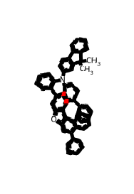 CC1(C)c2ccccc2-c2ccc(N(c3ccc(-c4ccccc4)cc3)c3ccccc3-c3ccc4c(c3)oc3cc(-c5ccccc5)c5ccccc5c34)cc21